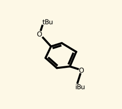 CCC(C)Oc1ccc(OC(C)(C)C)cc1